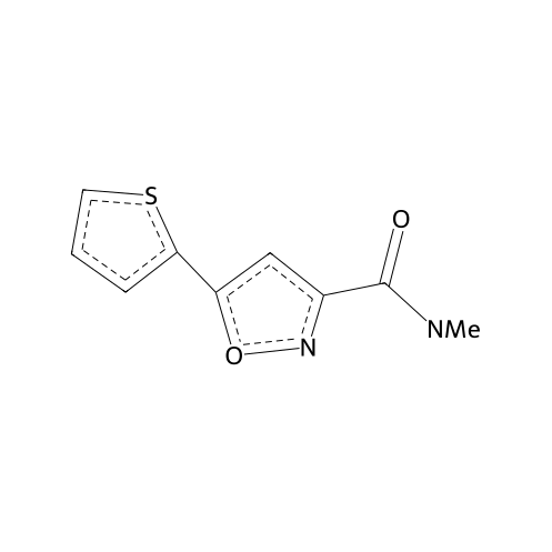 CNC(=O)c1cc(-c2cccs2)on1